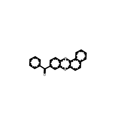 O=C(c1ccccc1)c1ccc2nc3c(ccc4ccccc43)nc2c1